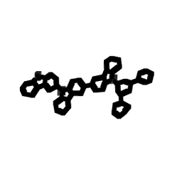 c1ccc(-c2cc(-c3ccccc3)cc(-n3c4ccccc4c4cc(-c5ccc6c(c5)c5ccccc5n6-c5ccc6sc7ccccc7c6c5)ccc43)c2)cc1